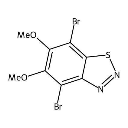 COc1c(OC)c(Br)c2snnc2c1Br